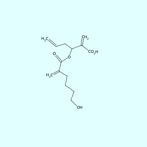 C=CCC(OC(=O)C(=C)CCCCO)C(=C)C(=O)O